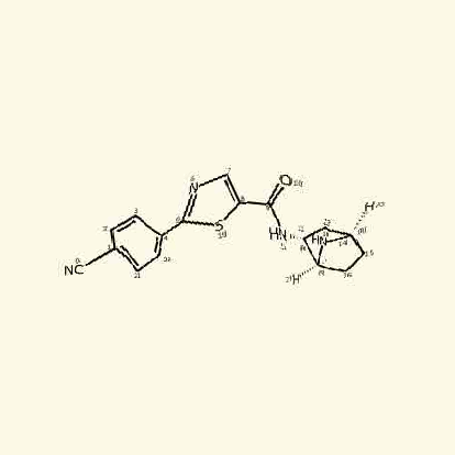 N#Cc1ccc(-c2ncc(C(=O)N[C@@H]3C[C@H]4CC[C@@H]3N4)s2)cc1